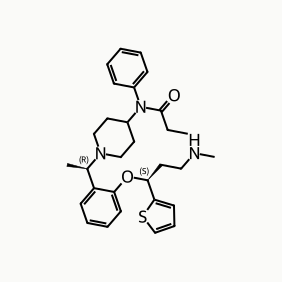 CCC(=O)N(c1ccccc1)C1CCN([C@H](C)c2ccccc2O[C@@H](CCNC)c2cccs2)CC1